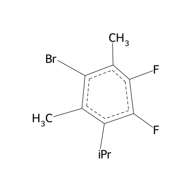 Cc1c(F)c(F)c(C(C)C)c(C)c1Br